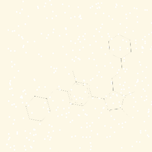 Cc1nc(C2=C(COC3CCCCO3)N(C)N(C)N2)cnc1OC1CCCCC1